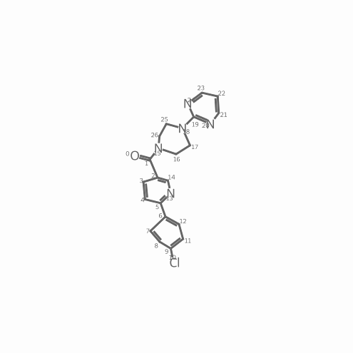 O=C(c1ccc(-c2ccc(Cl)cc2)nc1)N1CCN(c2ncccn2)CC1